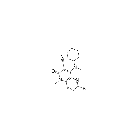 CN(c1c(C#N)c(=O)n(C)c2ccc(Br)nc12)C1CCCCC1